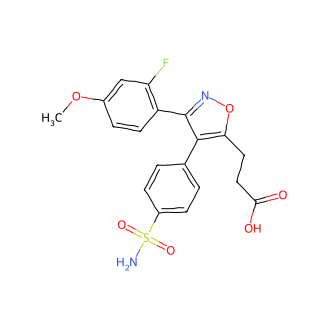 COc1ccc(-c2noc(CCC(=O)O)c2-c2ccc(S(N)(=O)=O)cc2)c(F)c1